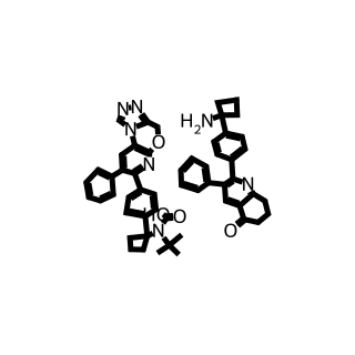 CC(C)(C)N(C(=O)O)C1(c2ccc(-c3nc4c(cc3-c3ccccc3)-n3cnnc3CO4)cc2)CCC1.NC1(c2ccc(-c3nc4c(cc3-c3ccccc3)C(=O)CCC4)cc2)CCC1